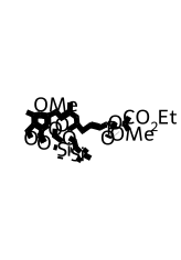 CCOC(=O)C(C)OP(=O)(C/C=C/CC(C/C(C)=C/Cc1c(OC)c(C)c2c(c1OCC[Si](C)(C)C)C(=O)OC2)C(=O)OCC[Si](C)(C)C)OC